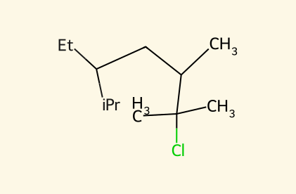 CCC(CC(C)C(C)(C)Cl)C(C)C